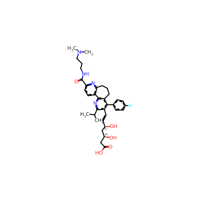 CC(C)c1nc2c(c(-c3ccc(F)cc3)c1/C=C/[C@@H](O)C[C@@H](O)CC(=O)O)CCCc1nc(C(=O)NCCCN(C)C)ccc1-2